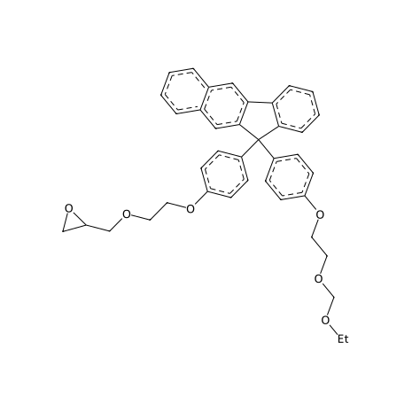 CCOCOCCOc1ccc(C2(c3ccc(OCCOCC4CO4)cc3)c3ccccc3-c3cc4ccccc4cc32)cc1